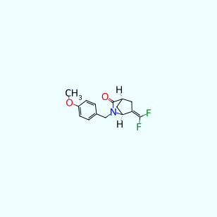 COc1ccc(CN2C(=O)[C@H]3CC(=C(F)F)[C@@H]2C3)cc1